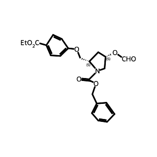 CCOC(=O)c1ccc(OC[C@@H]2C[C@H](OC=O)CN2C(=O)OCc2ccccc2)cc1